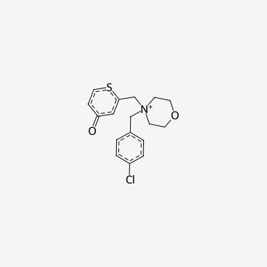 O=c1ccsc(C[N+]2(Cc3ccc(Cl)cc3)CCOCC2)c1